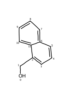 OCc1cc[c]c2ccccc12